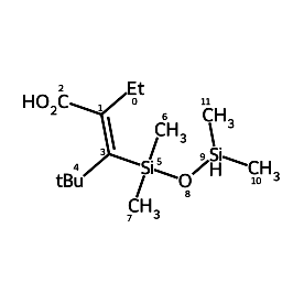 CCC(C(=O)O)=C(C(C)(C)C)[Si](C)(C)O[SiH](C)C